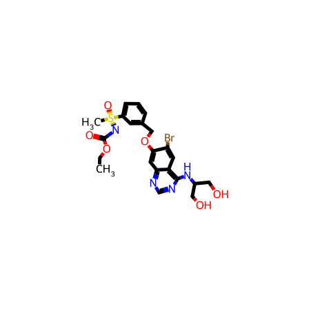 CCOC(=O)N=S(C)(=O)c1cccc(COc2cc3ncnc(NC(CO)CO)c3cc2Br)c1